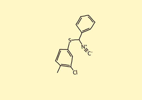 [C-]#[N+]C(Sc1ccc(C)c(Cl)c1)c1ccccc1